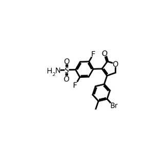 Cc1ccc(C2=C(c3cc(F)c(S(N)(=O)=O)cc3F)C(=O)OC2)cc1Br